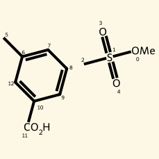 COS(C)(=O)=O.Cc1cccc(C(=O)O)c1